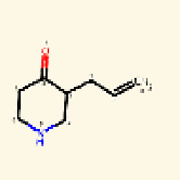 C=CCC1CNCCC1=O